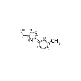 Cc1cccc(-c2nc(CI)cs2)c1